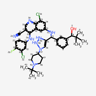 CC(C)(C)C(O)c1cccc([C@H](Nc2cc(Cl)c3ncc(C#N)c(Nc4ccc(F)c(Cl)c4)c3c2)C2=CN(C3CCN(C(C)(C)C)CC3)NN2)c1